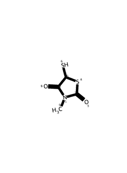 CN1C(=O)SC(S)C1=O